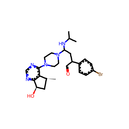 CC(C)NC(CC(C=O)c1ccc(Br)cc1)N1CCN(c2ncnc3c2[C@H](C)C[C@H]3O)CC1